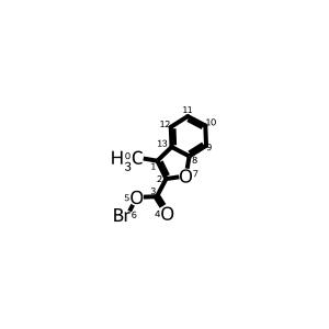 Cc1c(C(=O)OBr)oc2ccccc12